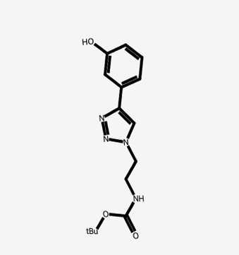 CC(C)(C)OC(=O)NCCn1cc(-c2cccc(O)c2)nn1